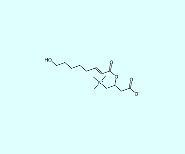 C[N+](C)(C)CC(CC(=O)[O-])OC(=O)C=CCCCCCO